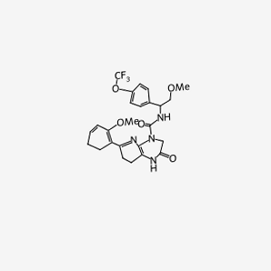 COCC(NC(=O)N1CC(=O)NC2=C1N=C(C1=C(OC)C=CCC1)CC2)c1ccc(OC(F)(F)F)cc1